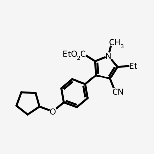 CCOC(=O)c1c(-c2ccc(OC3CCCC3)cc2)c(C#N)c(CC)n1C